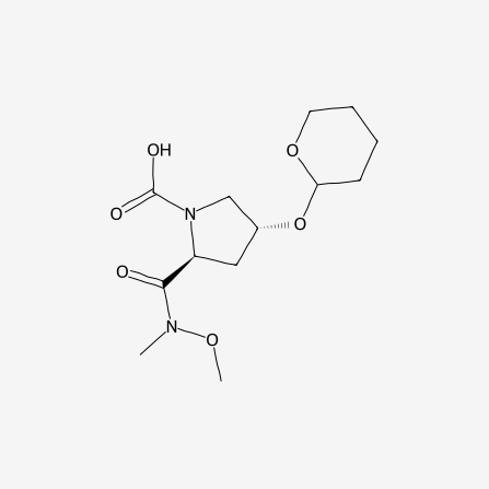 CON(C)C(=O)[C@@H]1C[C@@H](OC2CCCCO2)CN1C(=O)O